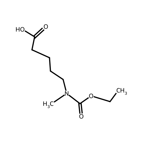 CCOC(=O)N(C)CCCCC(=O)O